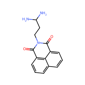 NC(N)CCN1C(=O)c2cccc3cccc(c23)C1=O